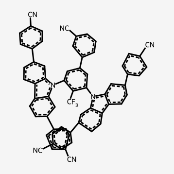 N#Cc1ccc(-c2ccc3c4ccc(-c5ccc(C#N)cc5)cc4n(-c4cc(-c5cccc(C#N)c5)cc(-n5c6cc(-c7ccc(C#N)cc7)ccc6c6ccc(-c7ccc(C#N)cc7)cc65)c4C(F)(F)F)c3c2)cc1